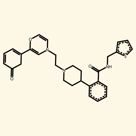 O=C1C=CC=C(C2=CN(CCN3CCC(c4ccccc4C(=O)NCc4cccs4)CC3)C=CO2)C1